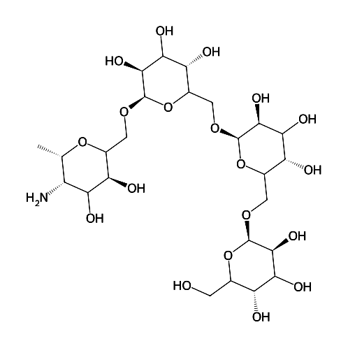 C[C@@H]1OC(CO[C@@H]2OC(CO[C@@H]3OC(CO[C@@H]4OC(CO)[C@@H](O)C(O)[C@@H]4O)[C@@H](O)C(O)[C@@H]3O)[C@@H](O)C(O)[C@@H]2O)[C@@H](O)C(O)[C@@H]1N